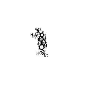 CCOC[C@@]1(O)CC[C@H]2[C@H](CC[C@@H]3[C@@H]2CC[C@]2(C)[C@@H](C4(C)CO4)CC[C@@H]32)C1